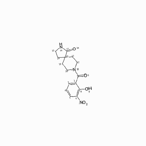 O=C(c1cccc([N+](=O)[O-])c1O)N1CCC2(CCNC2=O)CC1